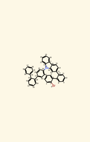 Brc1ccccc1-c1ccccc1-c1ccc2c3ccccc3n(-c3ccc(-c4ccccc4-c4ccccc4)cc3)c2c1